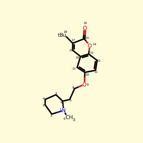 CN1CCCCC1CCOc1ccc2oc(=O)c(C(C)(C)C)cc2c1